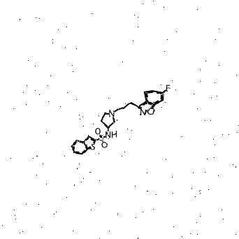 O=S(=O)(N[C@H]1CCN(CCCc2noc3cc(F)ccc23)C1)c1cc2ccccc2s1